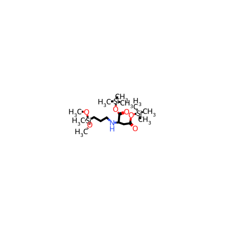 CO[Si](C)(CCCNC(CC(=O)O[Si](C)(C)C)C(=O)O[Si](C)(C)C)OC